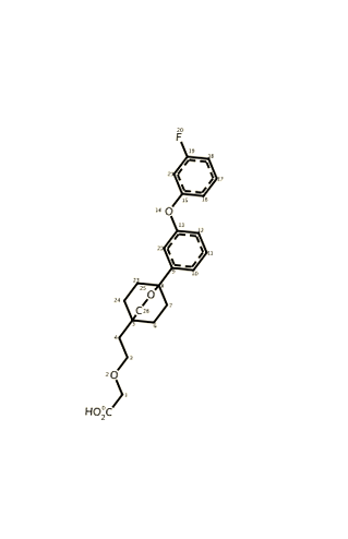 O=C(O)COCCC12CCC(c3cccc(Oc4cccc(F)c4)c3)(CC1)OC2